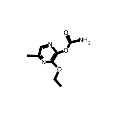 CCOc1nc(C)cnc1OC(N)=O